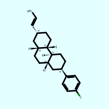 CCCC=C[C@@H]1CC[C@H]2[C@H](CC[C@H]3C[C@H](c4ccc(F)cc4)CC[C@@H]32)C1